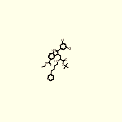 CCOC(=O)c1ccc2[nH]c(-c3cc(Cl)cc(Cl)c3)c(CC(NCCCCc3cccnc3)C(=O)OC(C)(C)C)c2c1